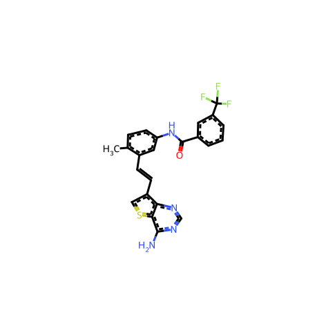 Cc1ccc(NC(=O)c2cccc(C(F)(F)F)c2)cc1C=Cc1csc2c(N)ncnc12